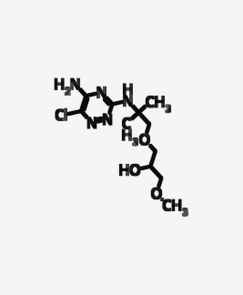 COCC(O)COCC(C)(C)Nc1nnc(Cl)c(N)n1